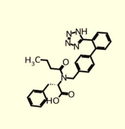 CCCC(=O)N(Cc1ccc(-c2ccccc2-c2nnn[nH]2)cc1)[C@@H](Cc1ccccc1)C(=O)O